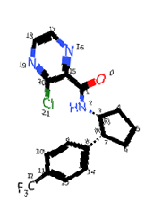 O=C(N[C@@H]1CCC[C@@H]1c1ccc(C(F)(F)F)cc1)c1nccnc1Cl